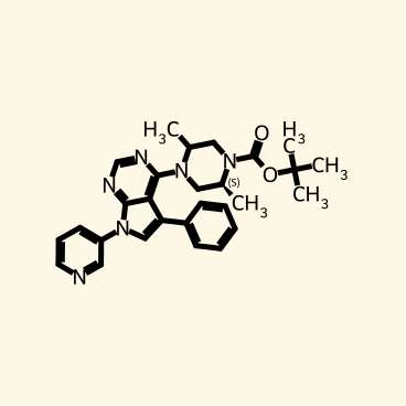 CC1CN(C(=O)OC(C)(C)C)[C@@H](C)CN1c1ncnc2c1c(-c1ccccc1)cn2-c1cccnc1